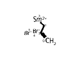 C=C[CH2][Sm+2].[Br-].[Br-]